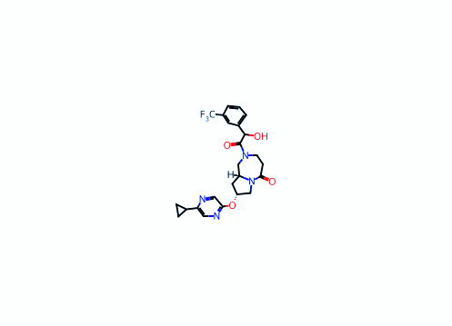 O=C(C(O)c1cccc(C(F)(F)F)c1)N1CCC(=O)N2C[C@H](Oc3cnc(C4CC4)cn3)C[C@@H]2C1